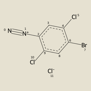 N#[N+]c1cc(Cl)c(Br)cc1Cl.[Cl-]